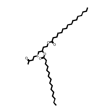 CCCCCCCCCCCCCCCC(=O)OCCC(CSCCC(C)=O)OC(=O)CCCCCCCCCCCCCCC